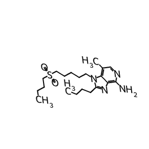 CCCCc1nc2c(N)ncc(C)c2n1CCCCCS(=O)(=O)CCCC